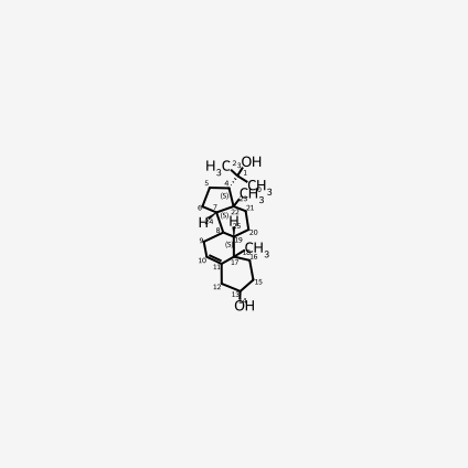 CC(C)(O)[C@H]1CC[C@H]2C3CC=C4CC(O)CCC4(C)[C@H]3CCC12C